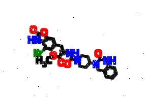 COC(=O)[C@@H](Cc1cc(Br)c2[nH]c(=O)oc2c1)NC(=O)N1CCC(N2Cc3ccccc3NC2=O)CC1